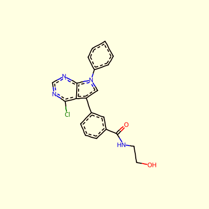 O=C(NCCO)c1cccc(-c2cn(-c3ccccc3)c3ncnc(Cl)c23)c1